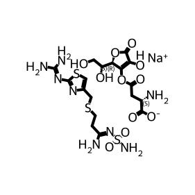 NC(N)=Nc1nc(CSCCC(N)=NS(N)(=O)=O)cs1.N[C@@H](CC(=O)OC1=C(O)C(=O)O[C@@H]1[C@@H](O)CO)C(=O)[O-].[Na+]